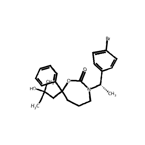 C[C@@H](c1ccc(Br)cc1)N1CCCC(CC(C)(C)O)(c2ccccc2)OC1=O